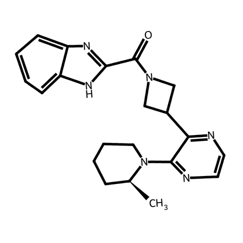 C[C@H]1CCCCN1c1nccnc1C1CN(C(=O)c2nc3ccccc3[nH]2)C1